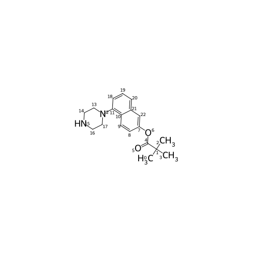 CC(C)(C)C(=O)Oc1ccc2c(N3CCNCC3)cccc2c1